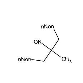 CCCCCCCCCCC(C)(CCCCCCCCCC)N=O